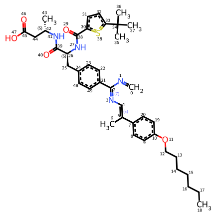 C=N/C(=N\C=C(/C)c1ccc(OCCCCCCC)cc1)c1ccc(C[C@H](NC(=O)c2ccc(C(C)(C)C)s2)C(=O)N[C@@H](C)CC(=O)O)cc1